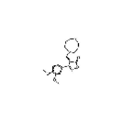 COc1ccc(C2=NOC(=O)/C2=C\N2CCCCCCC2)cc1OC